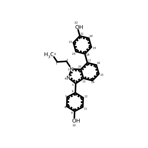 CCCn1nc(-c2ccc(O)cc2)c2cccc(-c3ccc(O)cc3)c21